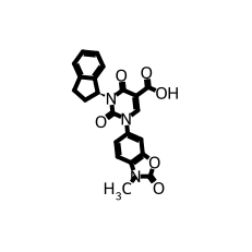 Cn1c(=O)oc2cc(-n3cc(C(=O)O)c(=O)n([C@@H]4CCc5ccccc54)c3=O)ccc21